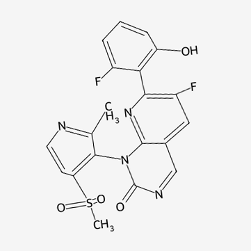 Cc1nccc(S(C)(=O)=O)c1-n1c(=O)ncc2cc(F)c(-c3c(O)cccc3F)nc21